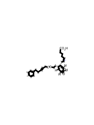 O=C(O)CCC/C=C\C[C@H]1[C@@H](CCOCCC#CCCc2ccccc2)[C@@H]2O[C@H]1[C@@H]1O[C@@H]12